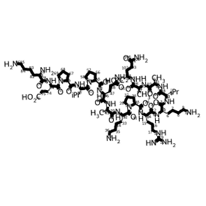 CC(C)[C@H](NC(=O)[C@H](CCCCN)NC(=O)[C@H](CCCNC(=N)N)NC(=O)[C@@H]1CCCN1C(=O)[C@H](CCCCN)NC(=O)[C@H](C)NC(=O)[C@H](CCC(N)=O)NC(=O)[C@@H]1CCCN1C(=O)[C@@H](NC(=O)[C@@H]1CCCN1C(=O)[C@H](CCC(=O)O)NC(=O)[C@H](N)CCCCN)C(C)C)C(=O)N[C@@H](C)C(=O)N[C@@H](C)C(=O)N[C@@H](CCC(N)=O)C(=O)O